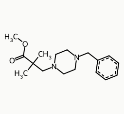 COC(=O)C(C)(C)CN1CCN(Cc2ccccc2)CC1